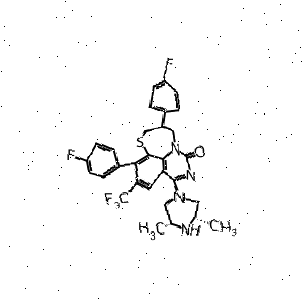 C[C@@H]1CN(c2nc(=O)n3c4c(c(-c5ccc(F)cc5)c(C(F)(F)F)cc24)SCC(c2ccc(F)cc2)C3)C[C@H](C)N1